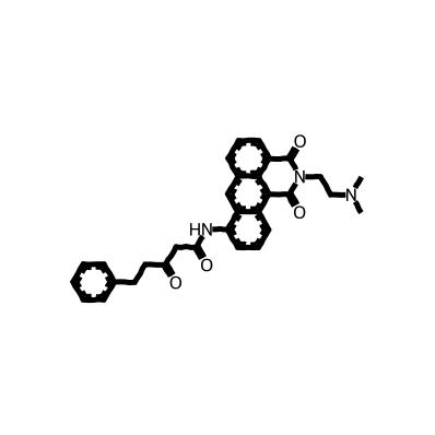 CN(C)CCN1C(=O)c2cccc3cc4c(NC(=O)CC(=O)CCc5ccccc5)cccc4c(c23)C1=O